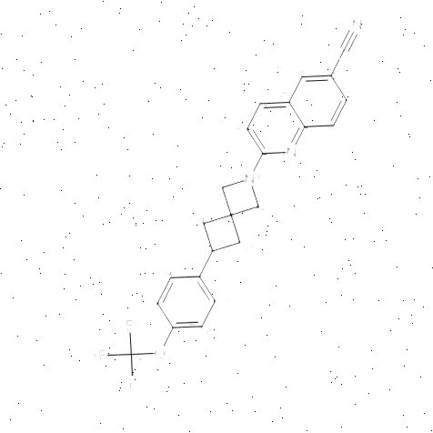 N#Cc1ccc2nc(N3CC4(CC(c5ccc(OC(F)(F)F)cc5)C4)C3)ccc2c1